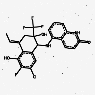 C/C=C1\CC(O)(C(F)(F)F)C(Nc2cccc3[nH]c(=O)ccc23)c2cc(Cl)c(F)c(O)c21